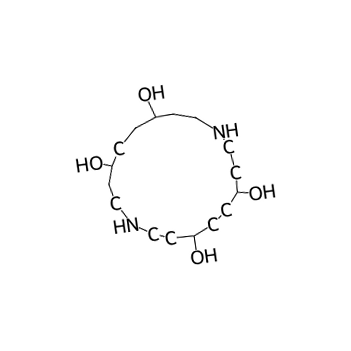 OC1CCNCCC(O)CCC(O)CCNCCC(O)CC1